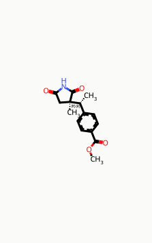 COC(=O)c1ccc([C@@H](C)[C@@]2(C)CC(=O)NC2=O)cc1